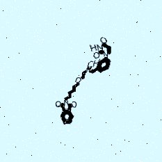 CN(CCOCCCCCCN1C(=O)c2ccccc2C1=O)Cc1cccc(-n2ccc(=O)[nH]c2=O)c1